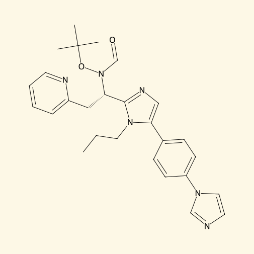 CCCn1c(-c2ccc(-n3ccnc3)cc2)cnc1[C@H](Cc1ccccn1)N(C=O)OC(C)(C)C